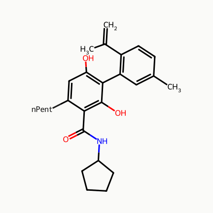 C=C(C)c1ccc(C)cc1-c1c(O)cc(CCCCC)c(C(=O)NC2CCCC2)c1O